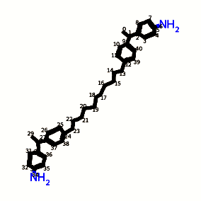 CC(c1ccc(N)cc1)c1ccc(CCCCCCCCCCCc2ccc(C(C)c3ccc(N)cc3)cc2)cc1